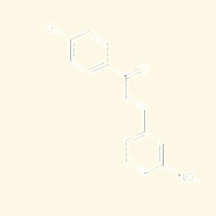 O=C(/C=C/c1cccc([N+](=O)[O-])c1)c1ccc(Cl)cc1